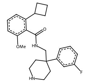 COc1cccc(C2CCC2)c1C(=O)NCC1(c2cccc(F)c2)CCNCC1